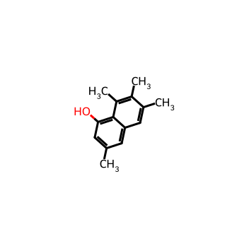 Cc1cc(O)c2c(C)c(C)c(C)cc2c1